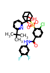 CC(C)(C)c1cccc(C(O)C2(O)C3CC2CC(S(=O)(=O)c2cc(C(=O)Nc4ccc(F)c(F)c4)ccc2Cl)C3)n1